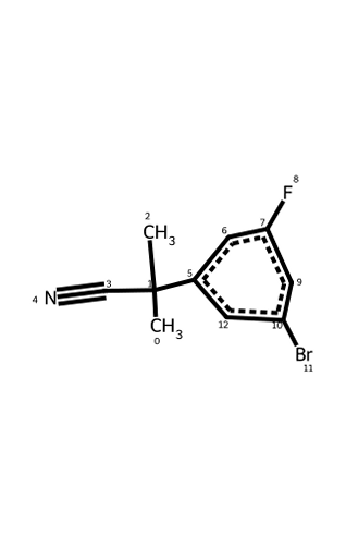 CC(C)(C#N)c1cc(F)cc(Br)c1